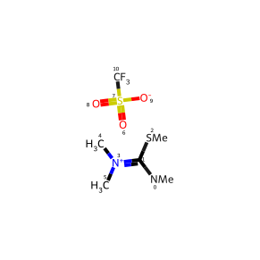 CNC(SC)=[N+](C)C.O=S(=O)([O-])C(F)(F)F